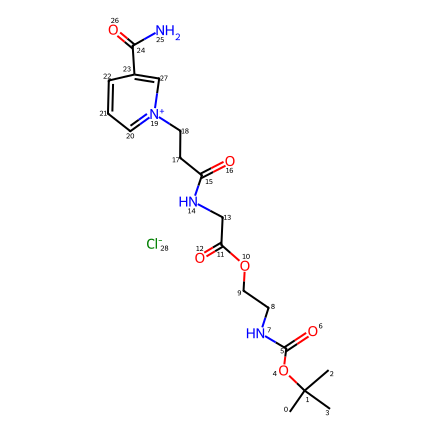 CC(C)(C)OC(=O)NCCOC(=O)CNC(=O)CC[n+]1cccc(C(N)=O)c1.[Cl-]